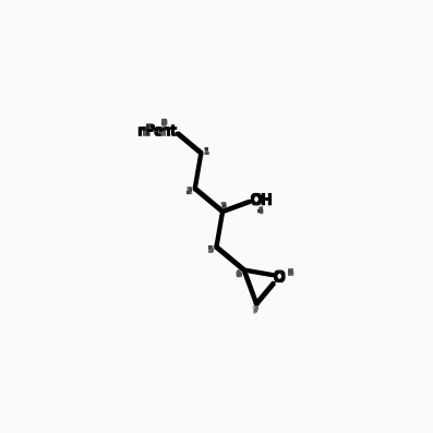 CCCCCCCC(O)CC1CO1